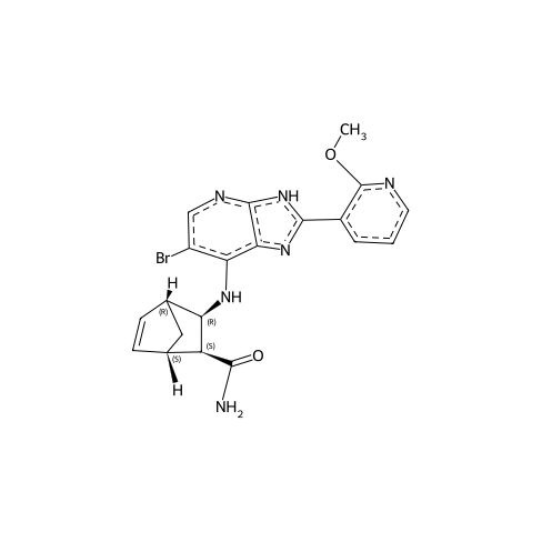 COc1ncccc1-c1nc2c(N[C@H]3[C@@H](C(N)=O)[C@@H]4C=C[C@H]3C4)c(Br)cnc2[nH]1